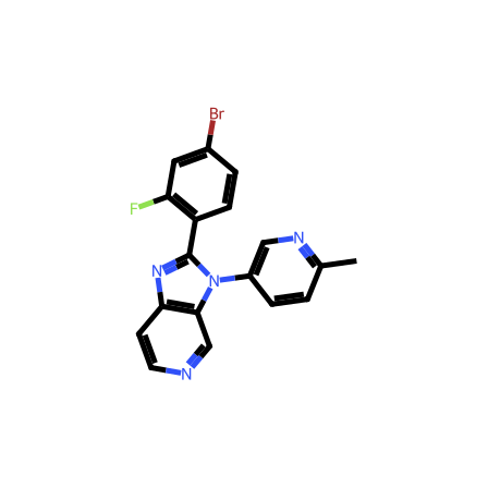 Cc1ccc(-n2c(-c3ccc(Br)cc3F)nc3ccncc32)cn1